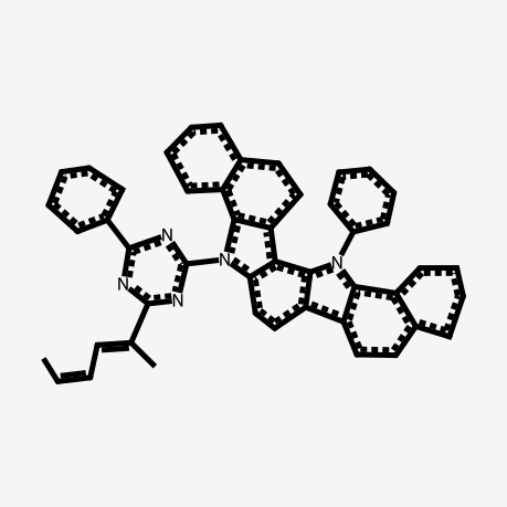 C/C=C\C=C(/C)c1nc(-c2ccccc2)nc(-n2c3ccc4c5ccc6ccccc6c5n(-c5ccccc5)c4c3c3ccc4ccccc4c32)n1